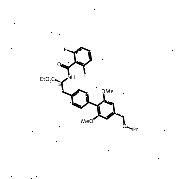 CCOC(=O)[C@H](Cc1ccc(-c2c(OC)cc(COC(C)C)cc2OC)cc1)NC(=O)c1c(F)cccc1F